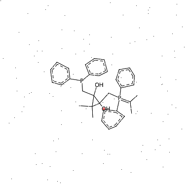 CC(C)=P(CC1(O)C(C)(C)C1(O)CP(c1ccccc1)c1ccccc1)(c1ccccc1)c1ccccc1